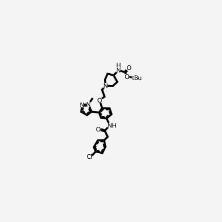 Cn1nccc1-c1cc(NC(=O)Cc2ccc(Cl)cc2)ccc1OCCN1CCC(NC(=O)OC(C)(C)C)CC1